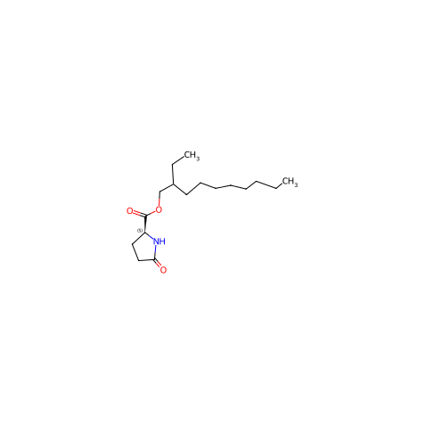 CCCCCCCCC(CC)COC(=O)[C@@H]1CCC(=O)N1